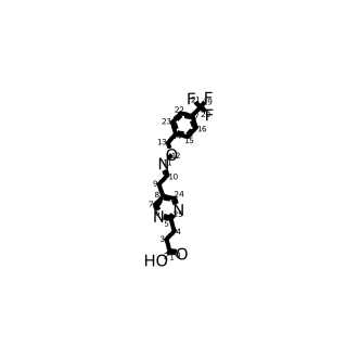 O=C(O)CCc1ncc(CC=NOCc2ccc(C(F)(F)F)cc2)cn1